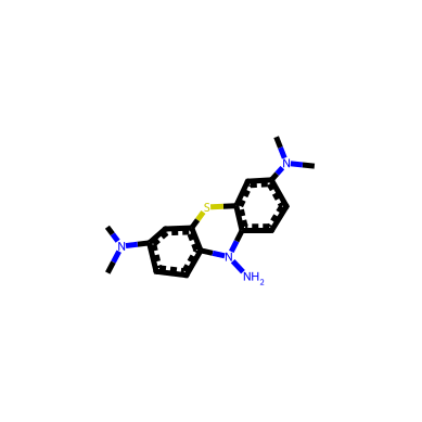 CN(C)c1ccc2c(c1)Sc1cc(N(C)C)ccc1N2N